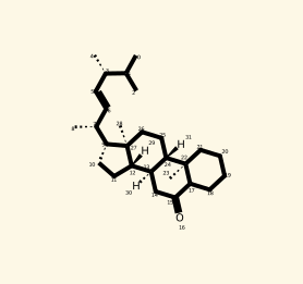 CC(C)[C@@H](C)C=C[C@@H](C)[C@H]1CC[C@H]2[C@@H]3CC(=O)C4CCCC[C@]4(C)[C@H]3CC[C@]12C